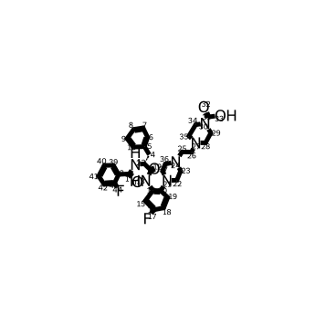 O=C(N[C@H](Cc1ccccc1)C(=O)Nc1cc(F)ccc1N1CCN(CCN2CCN(C(=O)O)CC2)CC1)c1ccccc1F